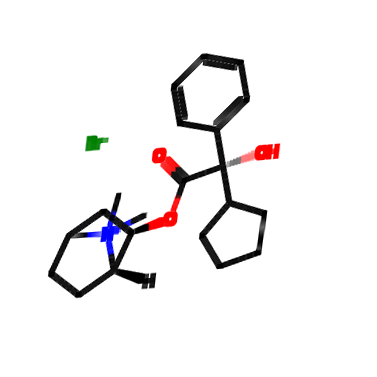 C[N+]1(C)C2CC[C@H]1[C@H](OC(=O)[C@@](O)(c1ccccc1)C1CCCC1)C2.[Br-]